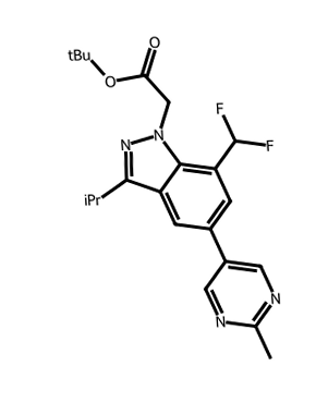 Cc1ncc(-c2cc(C(F)F)c3c(c2)c(C(C)C)nn3CC(=O)OC(C)(C)C)cn1